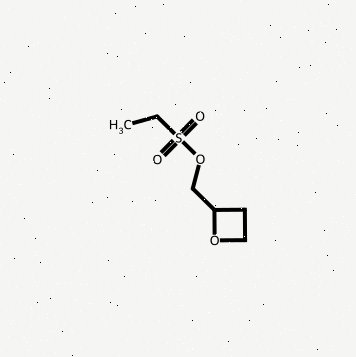 CCS(=O)(=O)OCC1CCO1